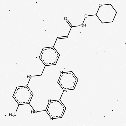 Cc1ccc(NCc2ccc(C=CC(=O)NOC3CCCCO3)cc2)cc1Nc1nccc(-c2cccnc2)n1